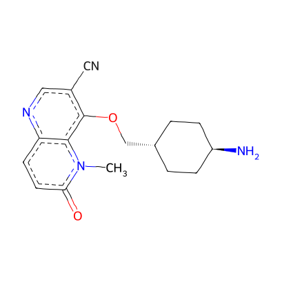 Cn1c(=O)ccc2ncc(C#N)c(OC[C@H]3CC[C@H](N)CC3)c21